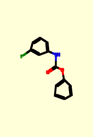 O=C(Nc1cccc(F)c1)Oc1ccccc1